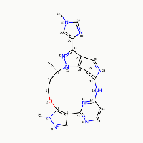 C[C@H]1CCOc2c(cnn2C)-c2nccc(n2)Nc2cc3c(cn2)c(-c2cn(C)cn2)nn31